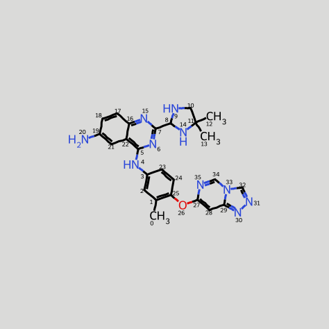 Cc1cc(Nc2nc(C3NCC(C)(C)N3)nc3ccc(N)cc23)ccc1Oc1cc2nncn2cn1